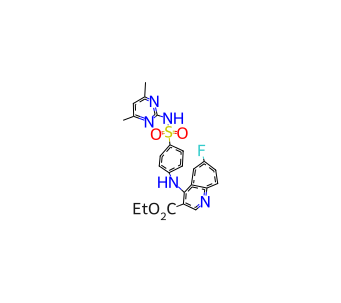 CCOC(=O)c1cnc2ccc(F)cc2c1Nc1ccc(S(=O)(=O)Nc2nc(C)cc(C)n2)cc1